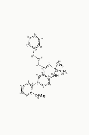 COc1ccccc1-c1ccc2c(c1)C(CSCc1ccccc1)=CC(C)(C)N2